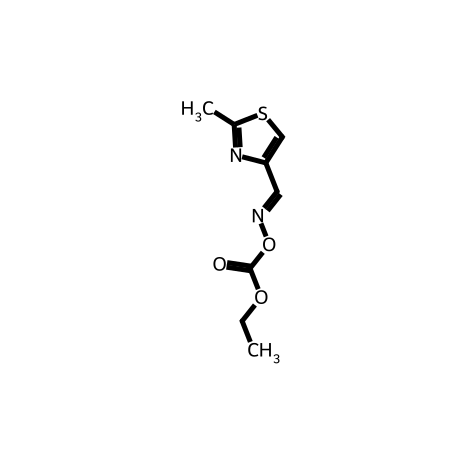 CCOC(=O)ON=Cc1csc(C)n1